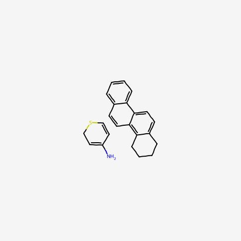 NC1=CCSC=C1.c1ccc2c(c1)ccc1c3c(ccc12)CCCC3